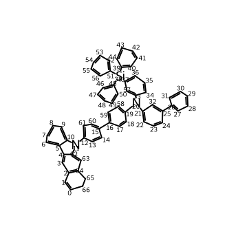 C1=Cc2cc3c4ccccc4n(-c4ccc(-c5ccc(N(c6cccc(-c7ccccc7)c6)c6cccc([Si](c7ccccc7)(c7ccccc7)c7ccccc7)c6)cc5)cc4)c3cc2CC1